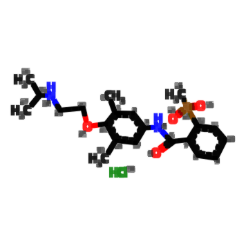 Cc1cc(NC(=O)c2ccccc2S(C)(=O)=O)cc(C)c1OCCNC(C)C.Cl